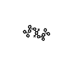 N#Cc1cc(-c2cccc(-n3c4ccccc4c4cc(N(c5ccccc5)c5ccccc5)ccc43)c2)c(C#N)cc1-c1cccc(-n2c3ccccc3c3cc(N(c4ccccc4)c4ccccc4)ccc32)c1